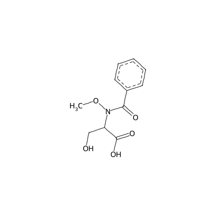 CON(C(=O)c1ccccc1)C(CO)C(=O)O